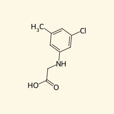 Cc1cc(Cl)cc(NCC(=O)O)c1